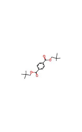 CC(C)(C)COC(=O)c1ccc(C(=O)OCC(C)(C)C)cc1